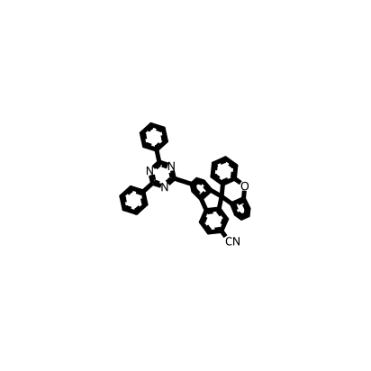 N#Cc1ccc2c(c1)C1(c3ccccc3Oc3ccccc31)c1ccc(-c3nc(-c4ccccc4)nc(-c4ccccc4)n3)cc1-2